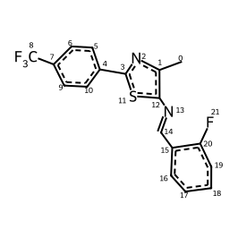 Cc1nc(-c2ccc(C(F)(F)F)cc2)sc1N=Cc1ccccc1F